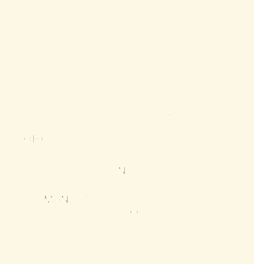 C#CCCOc1cccc2c1CN(C(CCC=O)C(=O)NC)C2=O